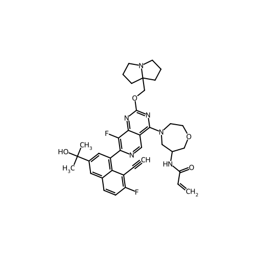 C#Cc1c(F)ccc2cc(C(C)(C)O)cc(-c3ncc4c(N5CCOCC(NC(=O)C=C)C5)nc(OCC56CCCN5CCC6)nc4c3F)c12